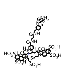 CC1(C)C(=CC=C(/C=C/C2N(CCCS(=O)(=O)O)c3ccc4c(S(=O)(=O)O)cc(S(=O)(=O)O)cc4c3C2(C)C)c2ccc(C(=O)NCCC(=O)NCc3ccc4sc(S(N)(=O)=O)nc4c3)cn2)N(CCCS(=O)(=O)O)c2ccc3c(S(=O)(=O)O)cc(S(=O)(=O)O)cc3c21